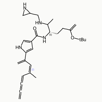 C=C=C=C/C(C)=C\C(=C)c1cc(C(=O)N[C@@H](CCC(=C)OC(C)(C)C)C(C)NCC2CN2)c[nH]1